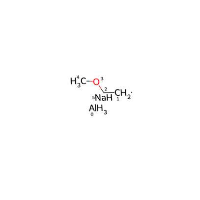 [AlH3].[CH2]COC.[NaH]